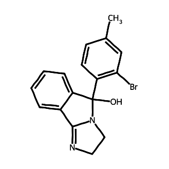 Cc1ccc(C2(O)c3ccccc3C3=NCCN32)c(Br)c1